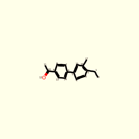 CCc1ccc(-c2ccc(C(C)=O)cc2)cc1C